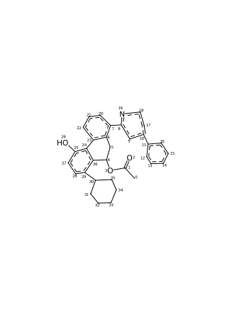 CC(=O)OC1Cc2c(-c3cc(-c4ccccc4)ccn3)cccc2-c2c(O)ccc(C3CCCCC3)c21